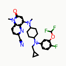 CN(c1cc(=O)n(C)c2ccc(C#N)nc12)C1CCC(N(CC2CC2)c2ccc(F)c(OC(F)F)c2)CC1